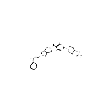 Cc1nc(N2CCC(NS(C)(=O)=O)CC2)nc(C)c1C(=O)N1CC2CN(CC[C@H](C)c3ccccc3)CC2C1